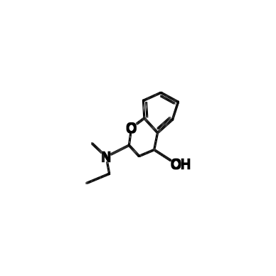 CCN(C)C1CC(O)c2ccccc2O1